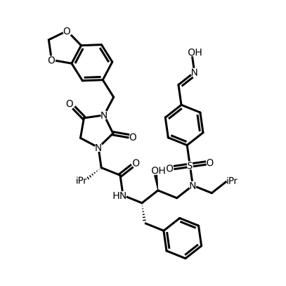 CC(C)CN(C[C@H](O)[C@H](Cc1ccccc1)NC(=O)[C@H](C(C)C)N1CC(=O)N(Cc2ccc3c(c2)OCO3)C1=O)S(=O)(=O)c1ccc(C=NO)cc1